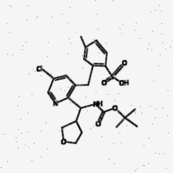 Cc1ccc(S(=O)(=O)O)c(Cc2cc(Cl)cnc2C(NC(=O)OC(C)(C)C)C2CCOC2)c1